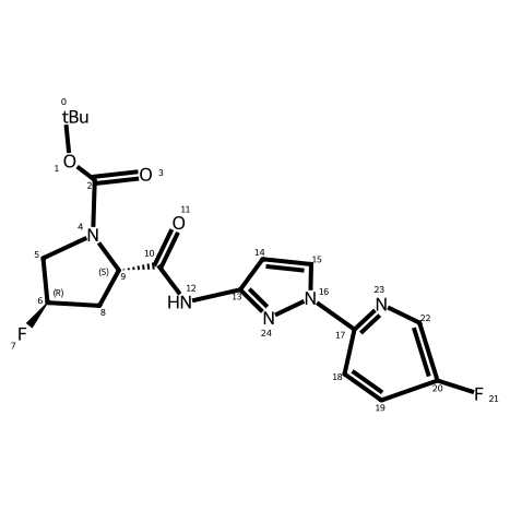 CC(C)(C)OC(=O)N1C[C@H](F)C[C@H]1C(=O)Nc1ccn(-c2ccc(F)cn2)n1